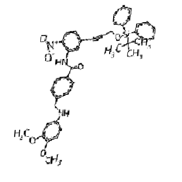 COc1ccc(NCc2ccc(C(=O)Nc3cc(C#CCO[Si](c4ccccc4)(c4ccccc4)C(C)(C)C)ccc3[N+](=O)[O-])cc2)cc1OC